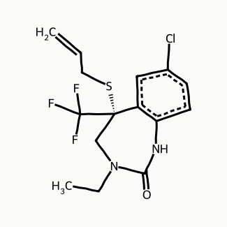 C=CCS[C@@]1(C(F)(F)F)CN(CC)C(=O)Nc2ccc(Cl)cc21